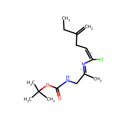 C=C(CC)C/C=C(Cl)\N=C(/C)CNC(=O)OC(C)(C)C